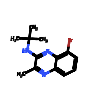 Cc1nc2cccc(Br)c2nc1NC(C)(C)C